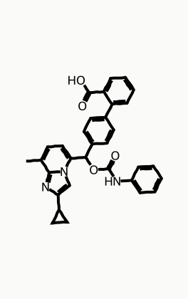 Cc1ccc(C(OC(=O)Nc2ccccc2)c2ccc(-c3ccccc3C(=O)O)cc2)n2cc(C3CC3)nc12